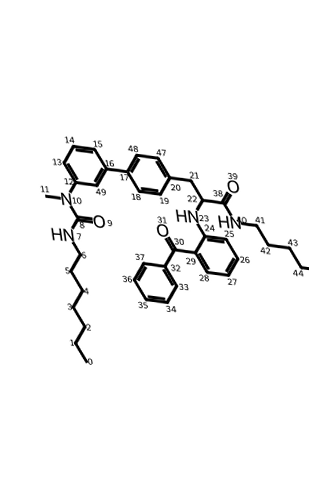 CCCCCCCNC(=O)N(C)c1cccc(-c2ccc(CC(Nc3ccccc3C(=O)c3ccccc3)C(=O)NCCCCCC)cc2)c1